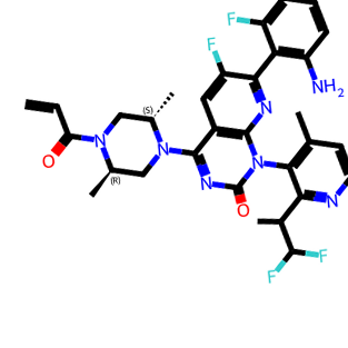 C=CC(=O)N1C[C@H](C)N(c2nc(=O)n(-c3c(C)ccnc3C(C)C(F)F)c3nc(-c4c(N)cccc4F)c(F)cc23)C[C@H]1C